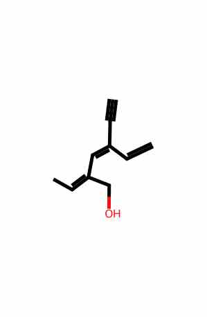 C#C/C(C=C)=C/C(=C\C)CO